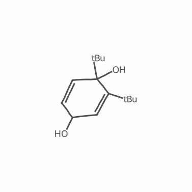 CC(C)(C)C1=CC(O)C=CC1(O)C(C)(C)C